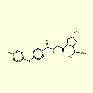 CO[C@@H](O)C1C[C@@H](C)CN1C(=O)CNC(=O)c1ccc(Oc2ccc(F)cc2)cc1